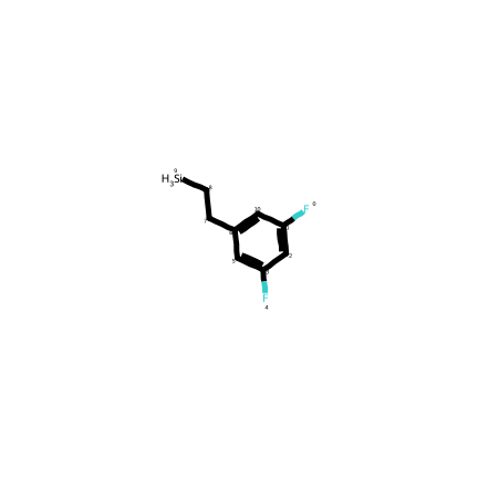 Fc1cc(F)cc(CC[SiH3])c1